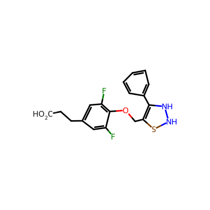 O=C(O)CCc1cc(F)c(OCC2=C(c3ccccc3)NNS2)c(F)c1